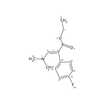 CCOC(=O)/C(=C/N(C)C)c1ccc(F)cc1